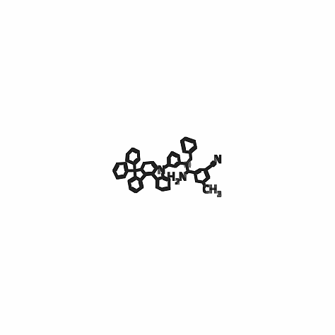 CC1C=C(C#N)C=C(C(N)[C@H](Cc2ccccc2)c2cccc(-n3c4c(c5ccccc53)=C3c5ccccc5C(c5ccccc5)(c5ccccc5)C3CC=4)c2)C1